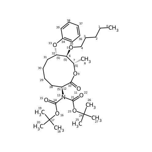 CCCCCO[C@H]1[C@H](C)OC(=O)[C@@H](N(C(=O)OC(C)(C)C)C(=O)OC(C)(C)C)CCCC[C@@H]1Oc1ccccc1